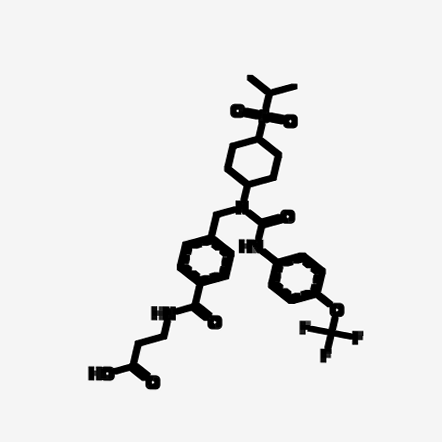 CC(C)S(=O)(=O)C1CCC(N(Cc2ccc(C(=O)NCCC(=O)O)cc2)C(=O)Nc2ccc(OC(F)(F)F)cc2)CC1